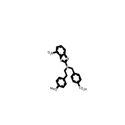 COc1ccc(CCN(Cc2ccc(C(=O)O)cc2)c2nc3cccc([N+](=O)[O-])c3s2)cc1